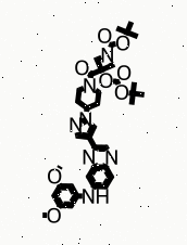 COc1cc(Nc2ccc3ncc(-c4cnn(C5CCN(C(=O)C6(OC(=O)OC(C)(C)C)CN(C(=O)OC(C)(C)C)C6)CC5)c4)nc3c2)cc(OC)c1